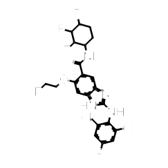 O=C(NC1CCC(F)C(F)C1F)c1cc2nc(Nc3c(Cl)cc(F)cc3Cl)[nH]c2cc1OCCF